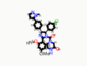 CCCOc1cc(OC)ccc1C1=N[C@@H](c2ccc(-c3ccnn3C)cc2)[C@@H](c2ccc(Cl)cc2)N1C(=O)N1CCNC(=O)C1